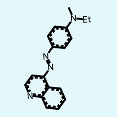 CCN(C)c1ccc(N=Nc2ccnc3ccccc23)cc1